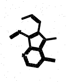 C=NC1=C(/C=C\C)C(C)=c2c1nccc2=C